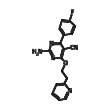 N#Cc1c(OCCc2ccccn2)nc(N)nc1-c1ccc(F)cc1